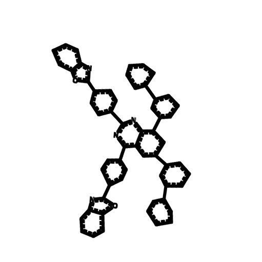 c1ccc(-c2cccc(-c3cc(-c4cccc(-c5ccccc5)c4)c4nc(-c5ccc(-c6nc7ccccc7o6)cc5)nc(-c5ccc(-c6nc7ccccc7o6)cc5)c4c3)c2)cc1